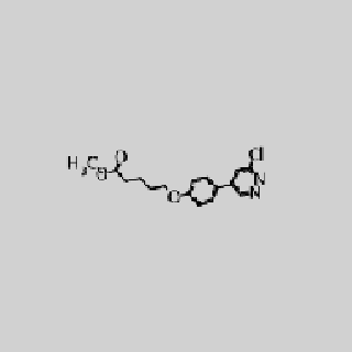 COC(=O)CCCCOc1ccc(-c2cnnc(Cl)c2)cc1